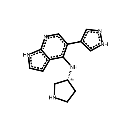 c1cc2c(N[C@@H]3CCNC3)c(-c3cn[nH]c3)cnc2[nH]1